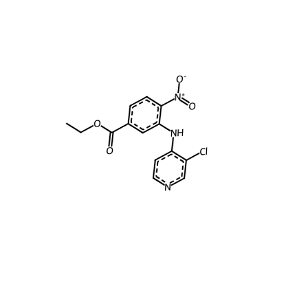 CCOC(=O)c1ccc([N+](=O)[O-])c(Nc2ccncc2Cl)c1